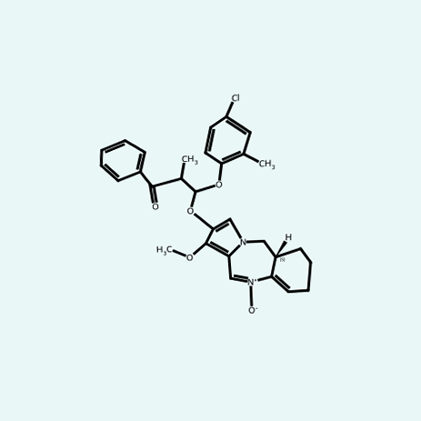 COc1c(OC(Oc2ccc(Cl)cc2C)C(C)C(=O)c2ccccc2)cn2c1C=[N+]([O-])C1=CCCC[C@H]1C2